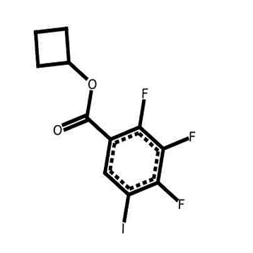 O=C(OC1CCC1)c1cc(I)c(F)c(F)c1F